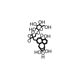 O=C1OC(=O)C1(CCOC1OC(CO)C(O)C(O)C1O)Cc1cc2c3c(ccc(O)c3c(=O)c1)C1CC(=C2)C(O)(O)C1O